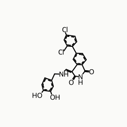 O=C1NC(=O)c2ccc(-c3ccc(Cl)cc3Cl)cc2C1=CNCc1ccc(O)c(O)c1